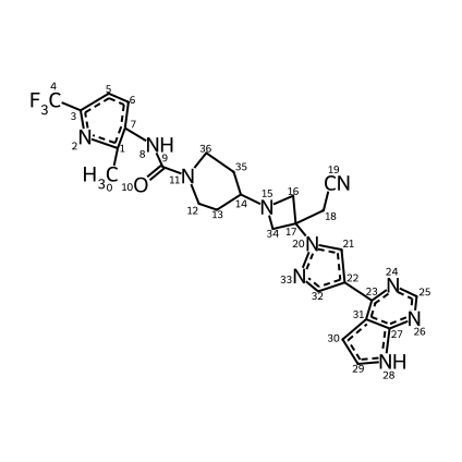 Cc1nc(C(F)(F)F)ccc1NC(=O)N1CCC(N2CC(CC#N)(n3cc(-c4ncnc5[nH]ccc45)cn3)C2)CC1